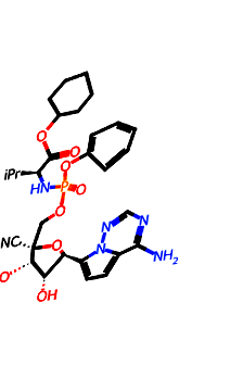 CC(C)[C@H](NP(=O)(OC[C@@]1(C#N)O[C@@H](c2ccc3c(N)ncnn23)[C@H](O)[C@@H]1O)Oc1ccccc1)C(=O)OC1CCCCC1